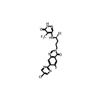 CC[C@@H](CCCn1cnc2cc(-c3ncc(Cl)cn3)c(F)cc2c1=O)Nc1cn[nH]c(=O)c1C(F)(F)F